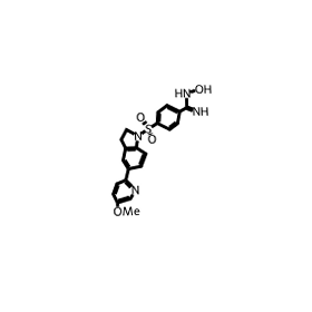 COc1ccc(-c2ccc3c(c2)CCN3S(=O)(=O)c2ccc(C(=N)NO)cc2)nc1